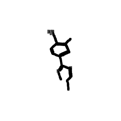 CC/C=N\C(=N/C)c1ccc(N)c(C)c1